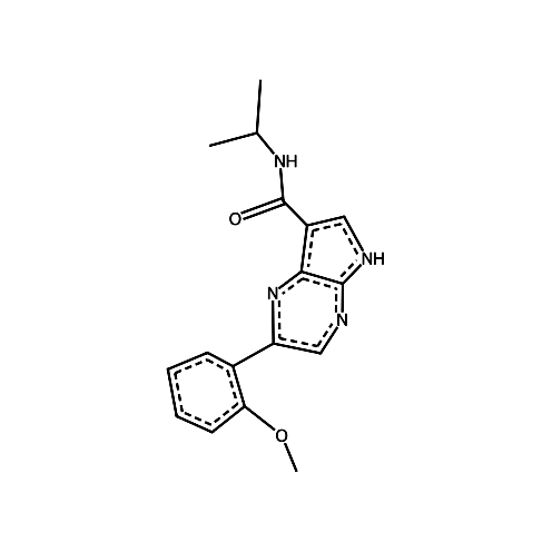 COc1ccccc1-c1cnc2[nH]cc(C(=O)NC(C)C)c2n1